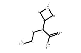 CCC(=O)N(CCO)C1COC1